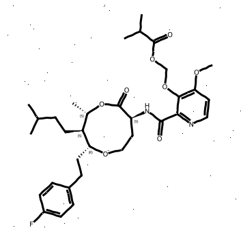 COc1ccnc(C(=O)N[C@H]2CCO[C@H](CCc3ccc(F)cc3)[C@@H](CCC(C)C)[C@H](C)OC2=O)c1OCOC(=O)C(C)C